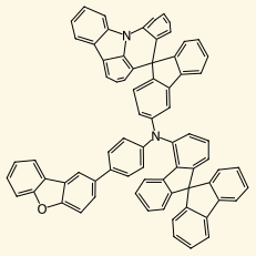 c1ccc2c(c1)-c1ccccc1C21c2ccccc2-c2c(N(c3ccc(-c4ccc5oc6ccccc6c5c4)cc3)c3ccc4c(c3)-c3ccccc3C43c4ccccc4-n4c5ccccc5c5cccc3c54)cccc21